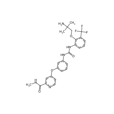 CNC(=O)c1cc(Oc2cccc(NC(=O)Nc3cccc(C(F)(F)F)c3OCC(C)(C)N)c2)ccn1